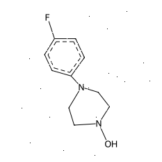 ON1CCN(c2ccc(F)cc2)CC1